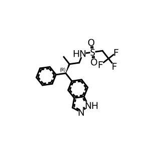 CC(CNS(=O)(=O)CC(F)(F)F)[C@H](c1ccccc1)c1ccc2[nH]ncc2c1